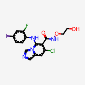 O=C(NOCCO)c1c(Cl)cc2cncn2c1Nc1ccc(I)cc1F